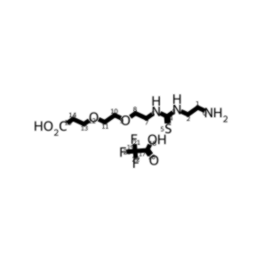 NCCNC(=S)NCCOCCOCCC(=O)O.O=C(O)C(F)(F)F